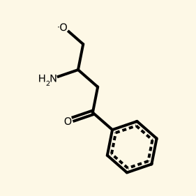 NC(C[O])CC(=O)c1ccccc1